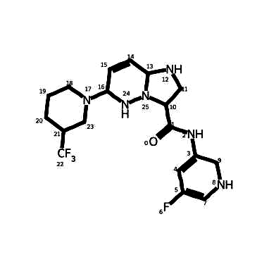 O=C(NC1=CC(F)=CNC1)C1CNC2C=CC(N3CCCC(C(F)(F)F)C3)NN21